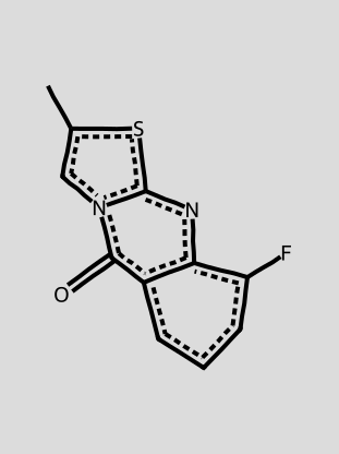 Cc1cn2c(=O)c3cccc(F)c3nc2s1